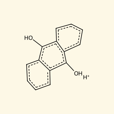 Oc1c2ccccc2c(O)c2ccccc12.[H+]